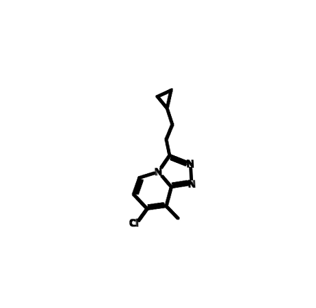 Cc1c(Cl)ccn2c(CCC3CC3)nnc12